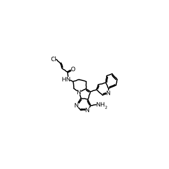 Nc1ncnc2c1c(-c1cnc3ccccc3c1)c1n2CC(NC(=O)C=CCl)CC1